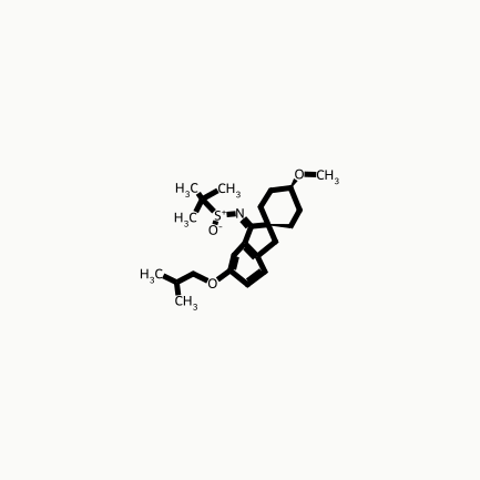 CO[C@H]1CC[C@@]2(CC1)Cc1ccc(OCC(C)C)cc1C2=N[S+]([O-])C(C)(C)C